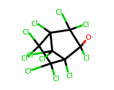 [O]C1(Cl)C(Cl)(Cl)C2(Cl)C(Cl)(Cl)C(Cl)(Cl)C1(Cl)C2(Cl)Cl